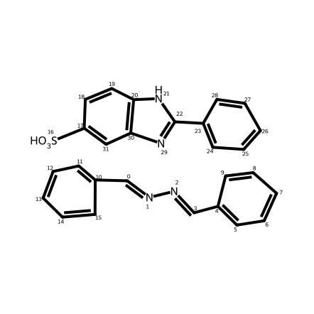 C(=N\N=C\c1ccccc1)/c1ccccc1.O=S(=O)(O)c1ccc2[nH]c(-c3ccccc3)nc2c1